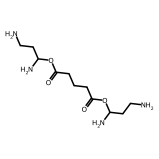 NCCC(N)OC(=O)CCCC(=O)OC(N)CCN